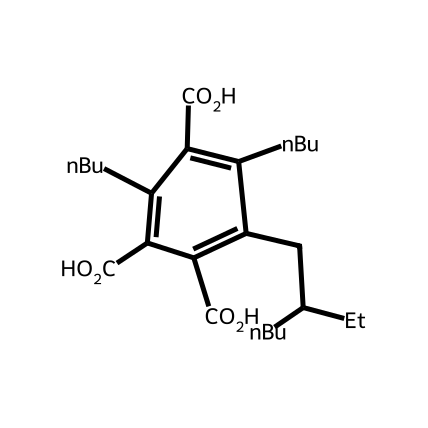 CCCCc1c(CC(CC)CCCC)c(C(=O)O)c(C(=O)O)c(CCCC)c1C(=O)O